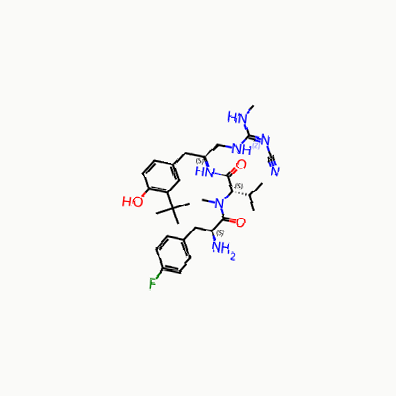 CN/C(=N/C#N)NC[C@H](Cc1ccc(O)c(C(C)(C)C)c1)NC(=O)[C@H](C(C)C)N(C)C(=O)[C@@H](N)Cc1ccc(F)cc1